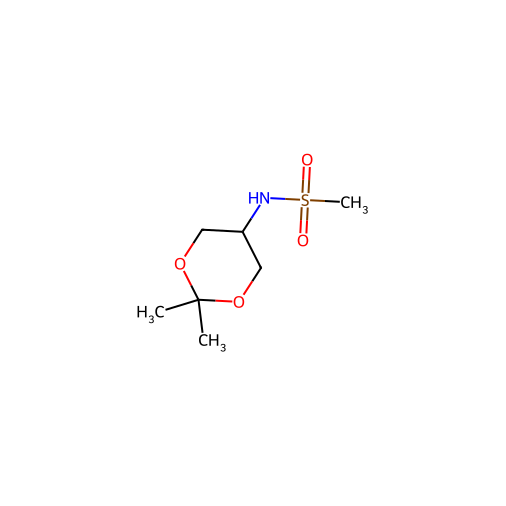 CC1(C)OCC(NS(C)(=O)=O)CO1